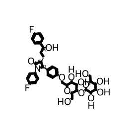 O=C1[C@H](CC[C@H](O)c2ccc(F)cc2)[C@@H](c2ccc(OCC3OC(CO)C(OC4OC(CO)C(O)C(O)C4O)C(O)C3O)cc2)N1c1ccc(F)cc1